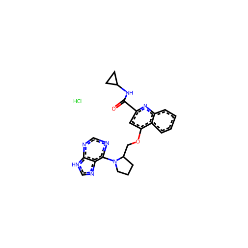 Cl.O=C(NC1CC1)c1cc(OCC2CCCN2c2ncnc3[nH]cnc23)c2ccccc2n1